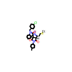 CCSCC[C@@H]1N[C@@]2(C(=O)N(Cc3ccc(Cl)cc3)c3ccccc32)[C@@H]2C(=O)N(c3ccc(C)cc3)C(=O)[C@H]12